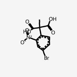 CC(C(=O)O)(C(=O)O)c1ccc(Br)cc1[N+](=O)[O-]